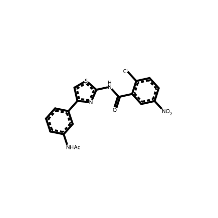 CC(=O)Nc1cccc(-c2csc(NC(=O)c3cc([N+](=O)[O-])ccc3Cl)n2)c1